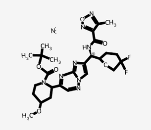 COC1CCN(C(=O)OC(C)(C)C)C(c2cnn3cc([C@@H](NC(=O)c4nonc4C)C4CCC(F)(F)CC4)nc3n2)C1.[N]